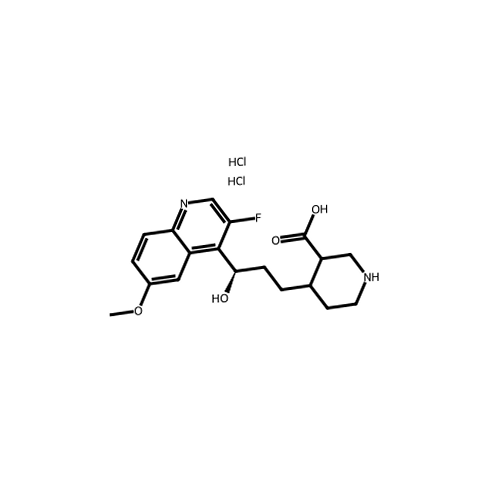 COc1ccc2ncc(F)c([C@H](O)CCC3CCNCC3C(=O)O)c2c1.Cl.Cl